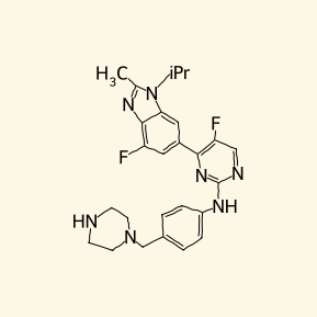 Cc1nc2c(F)cc(-c3nc(Nc4ccc(CN5CCNCC5)cc4)ncc3F)cc2n1C(C)C